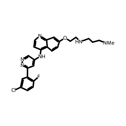 CNCCCNCCOc1ccc2c(Nc3cnnc(-c4cc(Cl)ccc4F)c3)ccnc2c1